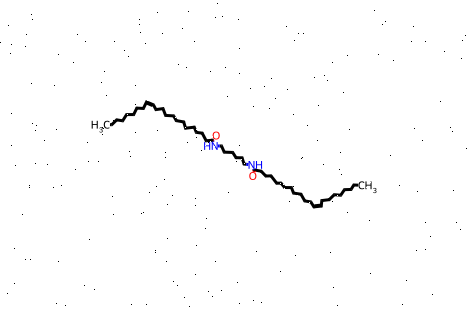 CCCCCCCC/C=C\CCCCCCCCCCCC(=O)NCCCCCCNC(=O)CCCCCCCCCCC/C=C\CCCCCCCC